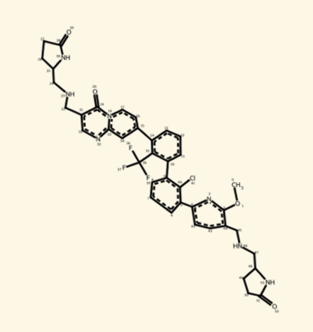 COc1nc(-c2cccc(-c3cccc(-c4ccn5c(=O)c(CNCC6CCC(=O)N6)cnc5c4)c3C(F)(F)F)c2Cl)ccc1CNCC1CCC(=O)N1